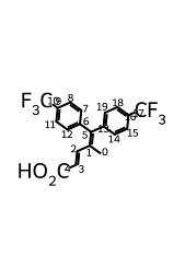 CC(C=CC(=O)O)=C(c1ccc(C(F)(F)F)cc1)c1ccc(C(F)(F)F)cc1